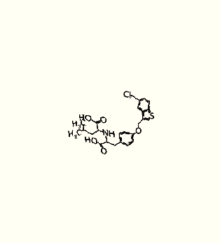 CC(C)CC(NC(Cc1ccc(OCc2csc3ccc(Cl)cc23)cc1)C(=O)O)C(=O)O